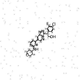 OC[C@H](c1ccc(Cl)c(F)c1)c1nnc2cc(-c3ccnc(NC4CCOCC4)n3)cnn12